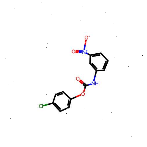 O=C(Nc1cccc([N+](=O)[O-])c1)Oc1ccc(Cl)cc1